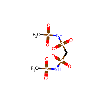 O=S(=O)(CS(=O)(=O)NS(=O)(=O)C(F)(F)F)NS(=O)(=O)C(F)(F)F